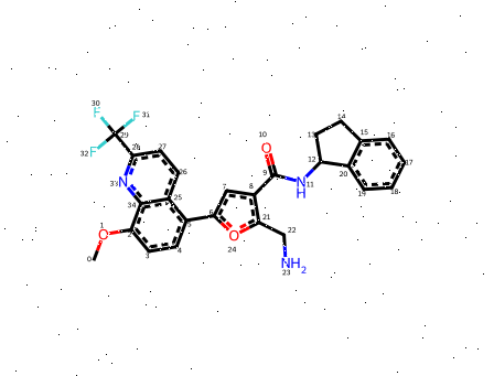 COc1ccc(-c2cc(C(=O)NC3CCc4ccccc43)c(CN)o2)c2ccc(C(F)(F)F)nc12